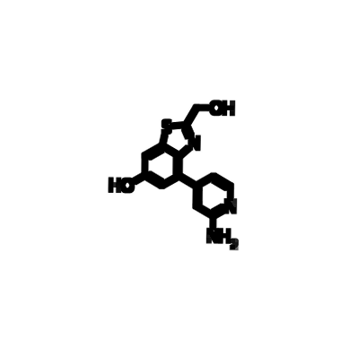 Nc1cc(-c2cc(O)cc3sc(CO)nc23)ccn1